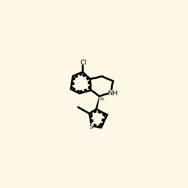 Cc1sccc1[C@@H]1NCCc2c(Cl)cccc21